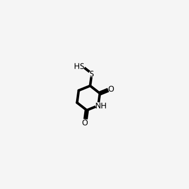 O=C1CCC(SS)C(=O)N1